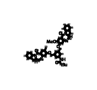 COc1cc2c(cc1OCc1cc(COc3cc4c(cc3C)C(=O)N3c5ccccc5C[C@H]3C=N4)cc(NC(=O)C(C)(C)C)c1)N=C[C@@H]1Cc3ccccc3N1C2=O